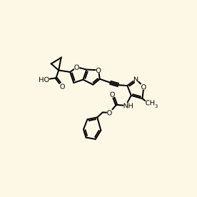 Cc1onc(C#Cc2cc3cc(C4(C(=O)O)CC4)oc3o2)c1NC(=O)OCc1ccccc1